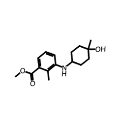 COC(=O)c1cccc(NC2CCC(C)(O)CC2)c1C